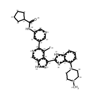 CN1CCN(c2cccc3[nH]c(-c4n[nH]c5cnc(-c6cncc(NC(=O)C7CCCC7)c6)c(F)c45)nc23)CC1